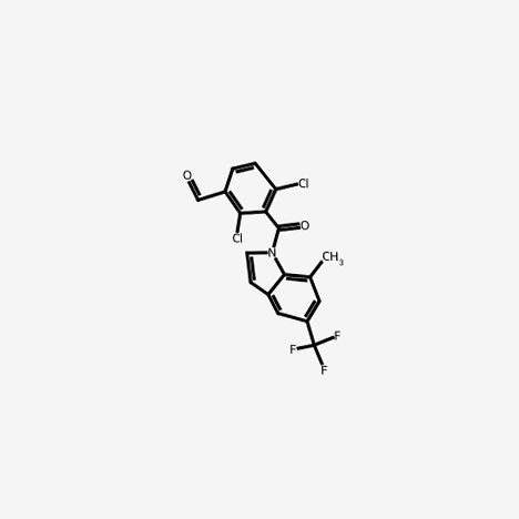 Cc1cc(C(F)(F)F)cc2ccn(C(=O)c3c(Cl)ccc(C=O)c3Cl)c12